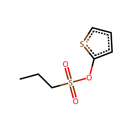 CCCS(=O)(=O)Oc1cccs1